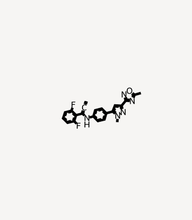 C=C=C(Nc1ccc(-c2cc(-c3noc(C)n3)nn2C)cc1)c1c(F)cccc1F